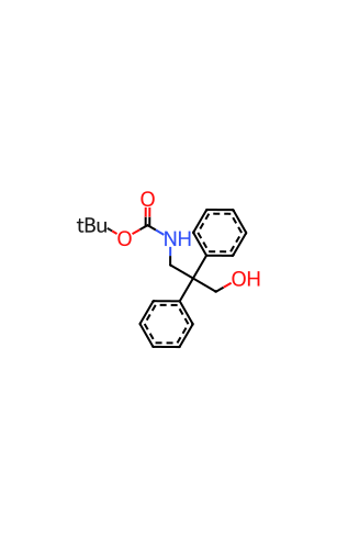 CC(C)(C)OC(=O)NCC(CO)(c1ccccc1)c1ccccc1